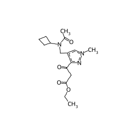 CCOC(=O)CC(=O)c1nn(C)cc1CN(C(C)=O)C1CCC1